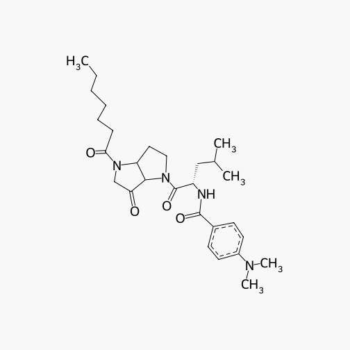 CCCCCCC(=O)N1CC(=O)C2C1CCN2C(=O)[C@H](CC(C)C)NC(=O)c1ccc(N(C)C)cc1